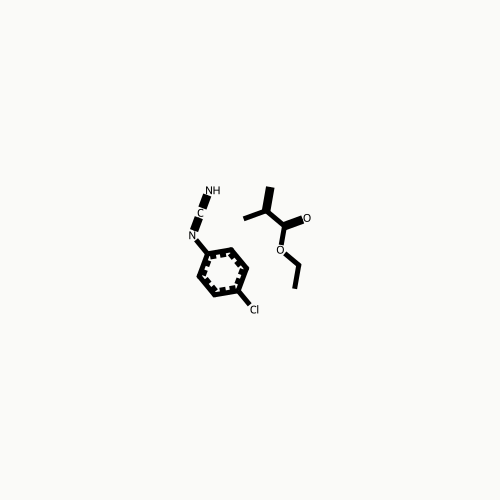 C=C(C)C(=O)OCC.N=C=Nc1ccc(Cl)cc1